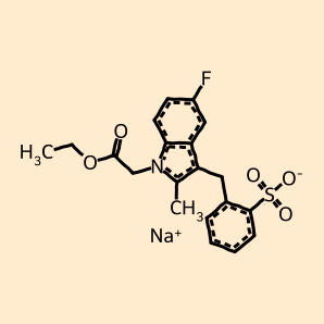 CCOC(=O)Cn1c(C)c(Cc2ccccc2S(=O)(=O)[O-])c2cc(F)ccc21.[Na+]